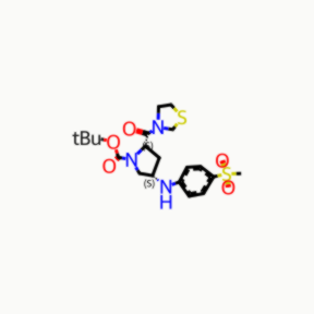 CC(C)(C)OC(=O)N1C[C@@H](Nc2ccc(S(C)(=O)=O)cc2)C[C@H]1C(=O)N1CCSC1